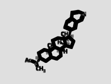 CC(=O)N(C)[C@H]1CC[C@@]2(C)C(CC[C@@H]3C2CC[C@]2(C)[C@@H](c4ccc5ccncc5c4)CC[C@@H]32)C1